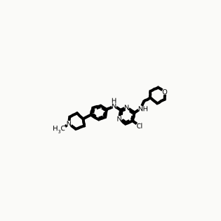 CN1CCC(c2ccc(Nc3ncc(Cl)c(NCC4CCOCC4)n3)cc2)CC1